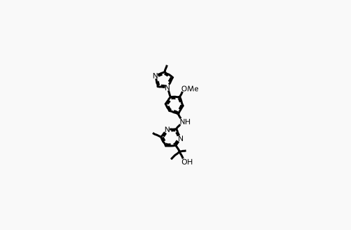 COc1cc(Nc2nc(C)cc(C(C)(C)O)n2)ccc1-n1cnc(C)c1